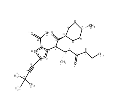 CCNC(=O)C[C@H](C)N(c1cc(C#CC(C)(C)C)sc1C(=O)O)C(=O)[C@H]1CC[C@H](C)CC1